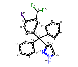 FC(F)c1cc(C(c2ccccc2)(c2ccccc2)c2cc[nH]n2)ccc1I